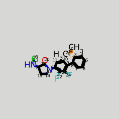 CP(C)c1ccccc1-c1ccc(N2CCC(NCl)C2=O)c(F)c1F